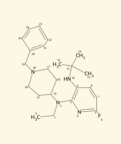 CCN(c1nc(F)ccc1NC(C)(C)C)C1CCN(Cc2ccccc2)CC1